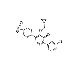 CS(=O)(=O)c1ccc(-c2cnn(-c3cccc(Cl)c3)c(=O)c2OCC2CC2)cc1